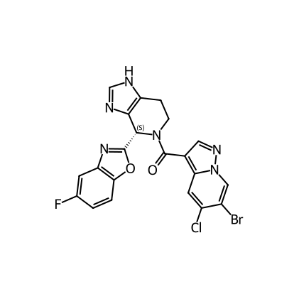 O=C(c1cnn2cc(Br)c(Cl)cc12)N1CCc2[nH]cnc2[C@H]1c1nc2cc(F)ccc2o1